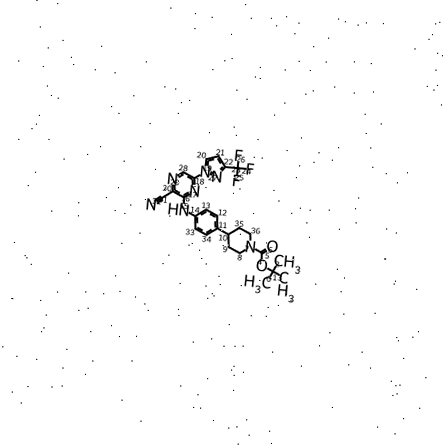 CC(C)(C)OC(=O)N1CCC(c2ccc(Nc3nc(-n4ccc(C(F)(F)F)n4)cnc3C#N)cc2)CC1